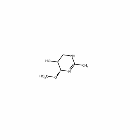 CC1=N[C@@H](OC(=O)O)C(O)CN1